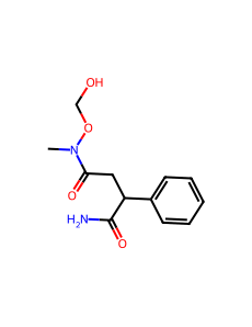 CN(OCO)C(=O)CC(C(N)=O)c1ccccc1